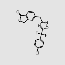 O=C1OCc2cc(Cc3noc(C(F)(F)c4ccc(Cl)cc4)n3)ccc21